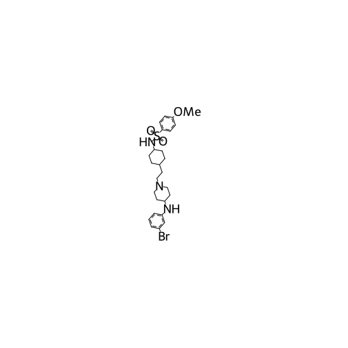 COc1ccc(S(=O)(=O)NC2CCC(CCN3CCC(Nc4cccc(Br)c4)CC3)CC2)cc1